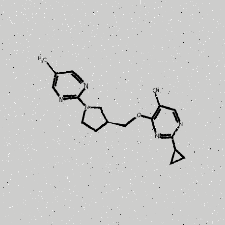 N#Cc1cnc(C2CC2)nc1OC[C@H]1CCN(c2ncc(C(F)(F)F)cn2)C1